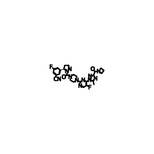 Cc1nc(C(=O)N2CCC2)nn1-c1nc(N2CCN(C(=O)N3N=CC[C@H]3c3cc(F)cc(C#N)c3)CC2)ncc1F